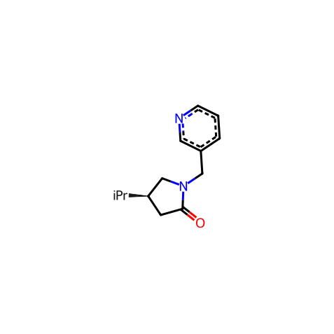 CC(C)[C@@H]1CC(=O)N(Cc2cccnc2)C1